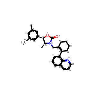 Cc1cc([C@H]2OC(=O)N(CC3=C(c4cccc5cccnc45)CCCC3)[C@H]2C)cc(C(F)(F)F)c1